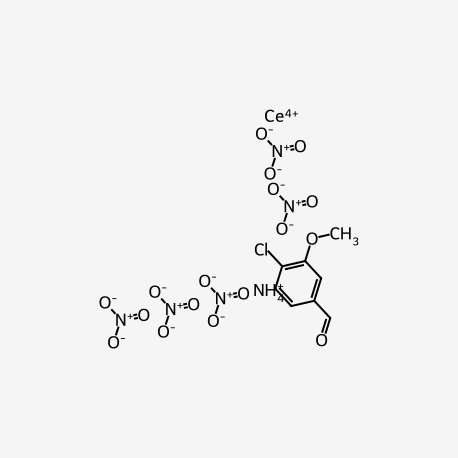 COc1cc(C=O)ccc1Cl.O=[N+]([O-])[O-].O=[N+]([O-])[O-].O=[N+]([O-])[O-].O=[N+]([O-])[O-].O=[N+]([O-])[O-].[Ce+4].[NH4+]